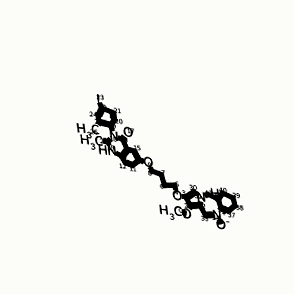 COc1c(OCCCCOc2ccc3c(c2)C(=O)N(c2ccc(I)cc2C)C(C)N3)cn2c1C=[N+]([O-])C1=CCCC[C@H]1C2